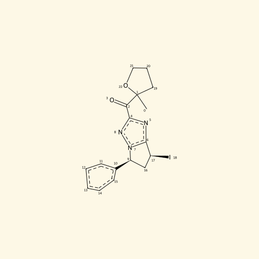 CC1(C(=O)c2nc3n(n2)[C@H](c2ccccc2)C[C@@H]3I)CCCO1